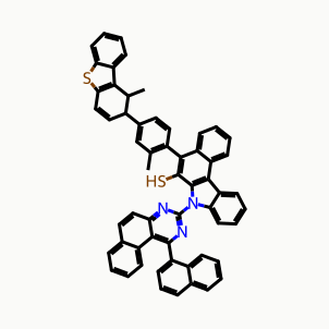 Cc1cc(C2C=Cc3sc4ccccc4c3C2C)ccc1-c1c(S)c2c(c3ccccc13)c1ccccc1n2-c1nc(-c2cccc3ccccc23)c2c(ccc3ccccc32)n1